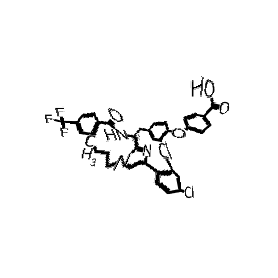 CCCCn1cc(-c2ccc(Cl)cc2Cl)nc1[C@H](Cc1ccc(Oc2ccc(C(=O)O)cc2)cc1)NC(=O)c1ccc(C(F)(F)F)cc1